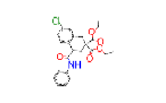 CCOC(=O)C1(C(=O)OCC)Cc2cc(Cl)ccc2C(C(=O)Nc2ccccc2)C1